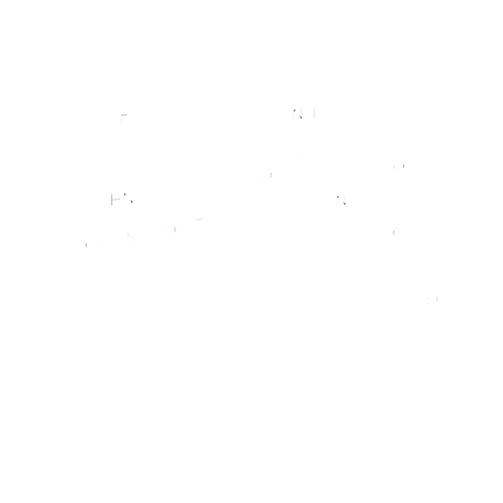 CC(NC(=O)c1coc(Oc2cccc3c2OC(C)(C)C3)n1)c1cc(F)c(NS(C)(=O)=O)c(F)c1